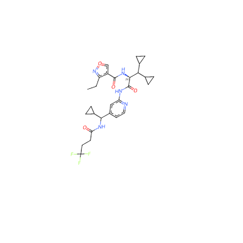 CCc1nocc1C(=O)N[C@H](C(=O)Nc1cc(C(NC(=O)CCC(F)(F)F)C2CC2)ccn1)C(C1CC1)C1CC1